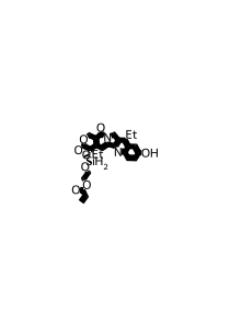 C=CC(=O)OCCO[SiH2]O[C@]1(CC)C(=O)OCc2c1cc1n(c2=O)Cc2c-1nc1ccc(O)cc1c2CC